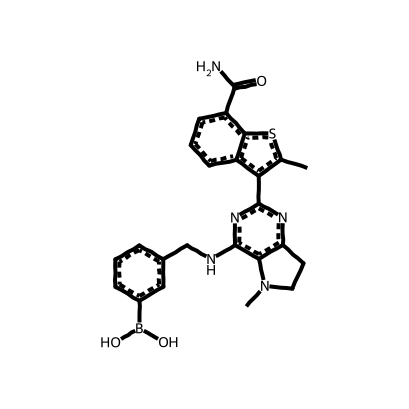 Cc1sc2c(C(N)=O)cccc2c1-c1nc2c(c(NCc3cccc(B(O)O)c3)n1)N(C)CC2